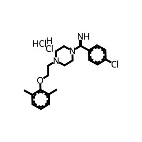 Cc1cccc(C)c1OCCN1CCN(C(=N)c2ccc(Cl)cc2)CC1.Cl.Cl